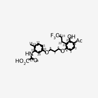 CC(=O)c1ccc(OCCCOc2ccc(C)c(NC(=O)C(=O)O)c2)c(CCC(F)(F)F)c1O